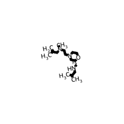 C=C(C)CN(C)CCN1CCO[C@H](CNCC(C)C)C1